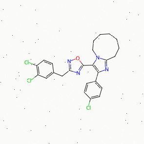 Clc1ccc(-c2nc3n(c2-c2nc(Cc4ccc(Cl)c(Cl)c4)no2)CCCCCCC3)cc1